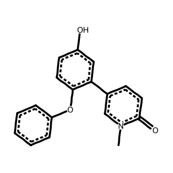 Cn1cc(-c2cc(O)ccc2Oc2ccccc2)ccc1=O